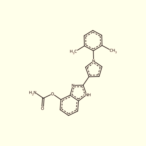 Cc1cccc(C)c1-n1ccc(-c2nc3c(OC(N)=O)cccc3[nH]2)c1